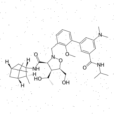 COc1c(CN2O[C@@H](CO)[C@@H]([C@H](C)O)[C@H]2C(=O)N[C@H]2C[C@H]3C[C@@H]([C@@H]2C)C3(C)C)cccc1-c1cc(C(=O)NC(C)C)cc(N(C)C)c1